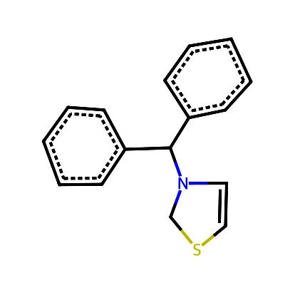 C1=CN(C(c2ccccc2)c2ccccc2)CS1